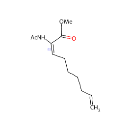 C=CCCCC/C=C(/NC(C)=O)C(=O)OC